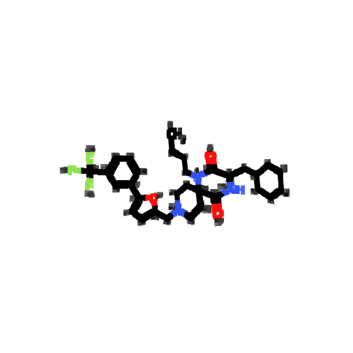 CCCCN1C(=O)C(CC2CCCCC2)NC(=O)C12CCN(Cc1ccc(-c3cccc(C(F)(F)F)c3)o1)CC2